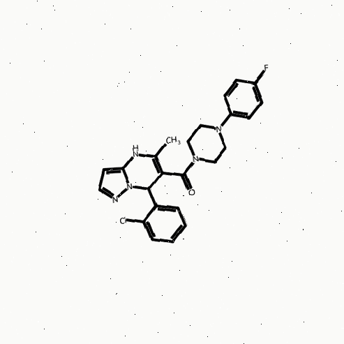 CC1=C(C(=O)N2CCN(c3ccc(F)cc3)CC2)C(c2ccccc2Cl)n2nccc2N1